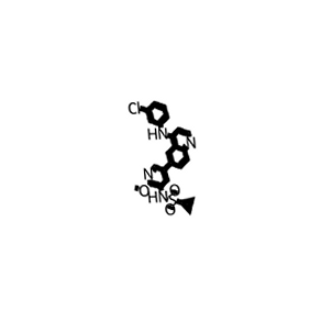 COc1ncc(-c2ccc3nccc(Nc4cccc(Cl)c4)c3c2)cc1NS(=O)(=O)C1CC1